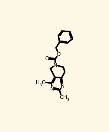 Cc1nc(C)c2c(n1)CCN(C(=O)OCc1ccccc1)C2